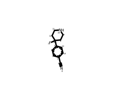 N#Cc1ccc(C2(F)CCNCC2)cc1